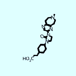 CN1CCc2ncc(N3CCN(C4CCC(CCC(=O)O)CC4)C3=O)nc2CC1